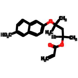 C=CC(=O)OC(C)(CC)CC(C)(C)Oc1ccc2cc(C(=O)O)ccc2c1